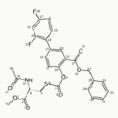 COC(=O)[C@@H](CSC(=O)Oc1ccc(-c2ccc(F)cc2F)cc1C(=O)OCc1ccccc1)NC(C)=O